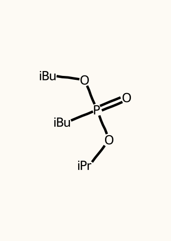 CCC(C)OP(=O)(OC(C)C)C(C)CC